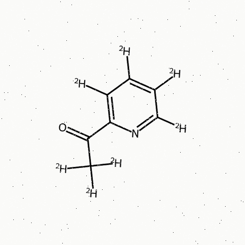 [2H]c1nc(C(=O)C([2H])([2H])[2H])c([2H])c([2H])c1[2H]